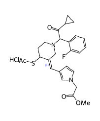 COC(=O)Cn1ccc(/C=C2\CN(C(C(=O)C3CC3)c3ccccc3F)CCC2SC(C)=O)c1.Cl